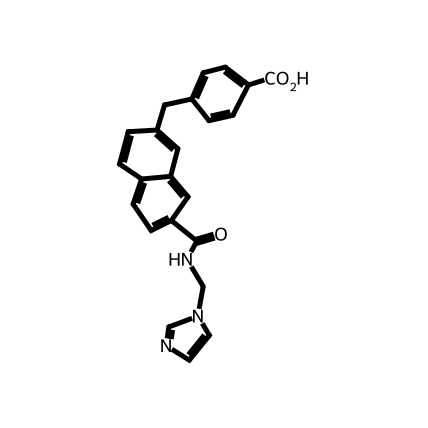 O=C(O)c1ccc(Cc2ccc3ccc(C(=O)NCn4ccnc4)cc3c2)cc1